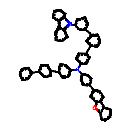 c1ccc(-c2ccc(-c3ccc(N(c4ccc(-c5cccc(-c6cccc(-n7c8ccccc8c8ccccc87)c6)c5)cc4)c4ccc(-c5ccc6c(c5)oc5ccccc56)cc4)cc3)cc2)cc1